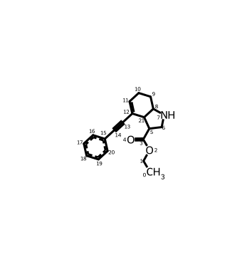 CCOC(=O)C1CNC2CCC=C(C#Cc3ccccc3)C21